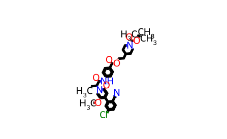 CCC(C(=O)Nc1ccc(C(=O)OCCC2CCN(C(=O)OC(C)(C)C)CC2)cc1)n1cc(OC)c(-c2cc(Cl)ccc2C#N)cc1=O